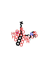 COc1cccc2c1C(=O)c1c(O)c3c(c(O)c1C2=O)C[C@@](OP(=O)(O)O)(C(=O)COCCCC(C)(C)C)C[C@@H]3OCCC[C@H]1[C@@H]([C@H](C)O)O[C@@H]2[C@@H](OC)OCCN21